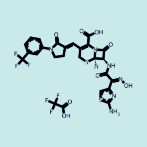 Nc1nc(C(=NO)C(=O)N[C@@H]2C(=O)N3C(C(=O)O)=C(C=C4CCN(c5cccc(C(F)(F)F)c5)C4=O)CS[C@H]23)cs1.O=C(O)C(F)(F)F